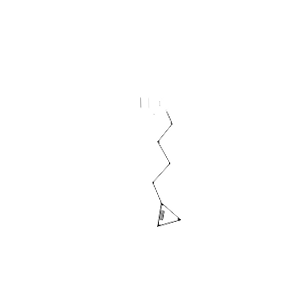 [CH2]CCCCC1=CC1